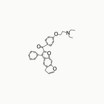 CCN(CC)CCOc1ccc(C(=O)c2oc3cc4c(cc3c2-c2ccccc2)CC=CO4)cc1